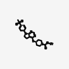 CC(C)OC(=O)N1CCC(Sc2ncnc3c2CCN3c2ccc(S(C)(=O)=O)cc2)CC1